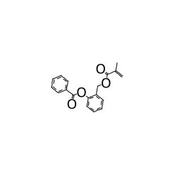 C=C(C)C(=O)OCc1ccccc1OC(=O)c1ccccc1